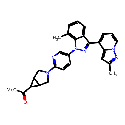 COC(=O)C1C2CN(c3ccc(-n4nc(-c5cccn6nc(C)cc56)c5cccc(C)c54)cn3)CC21